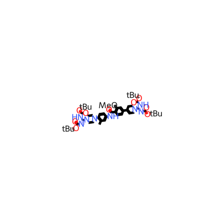 COc1cc(C2=CCN(/C(=N/C(=O)OC(C)(C)C)NC(=O)OC(C)(C)C)CC2)ccc1C(=O)Nc1ccc(N2CCN(/C(=N/C(=O)OC(C)(C)C)NC(=O)OC(C)(C)C)CC2)c(C)c1